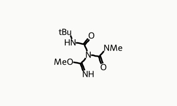 CNC(=O)N(C(=N)OC)C(=O)NC(C)(C)C